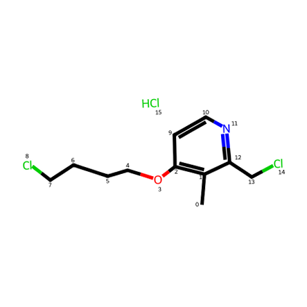 Cc1c(OCCCCCl)ccnc1CCl.Cl